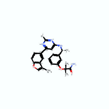 CCc1nc(N[C@H](C)c2cccc(OC(C)(C)C(N)=O)c2)cc(-c2ccc3occ(C)c3c2)n1